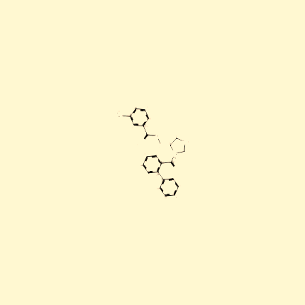 O=C(NC[C@@H]1CSCN1C(=O)c1ccccc1-c1ccccc1)c1cccc(Br)c1